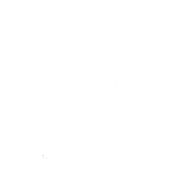 N#CCCCOCCCOCC1CCCCO1